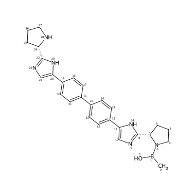 CB(O)N1CCC[C@H]1c1ncc(-c2ccc(-c3ccc(-c4cnc([C@@H]5CCCN5)[nH]4)cc3)cc2)[nH]1